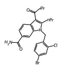 CCCc1c(C(=O)C(C)C)c2ccc(C(N)=O)cc2n1Cc1ccc(Br)cc1Cl